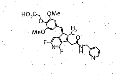 COc1cc(/C=C2/C(C)=C(CC(=O)NCc3cccnc3)c3c2cc(F)nc3F)cc(OC)c1OCC(=O)O